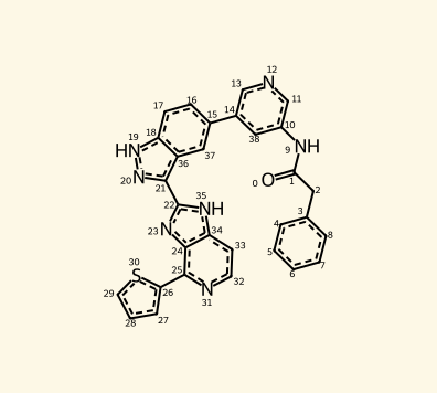 O=C(Cc1ccccc1)Nc1cncc(-c2ccc3[nH]nc(-c4nc5c(-c6cccs6)nccc5[nH]4)c3c2)c1